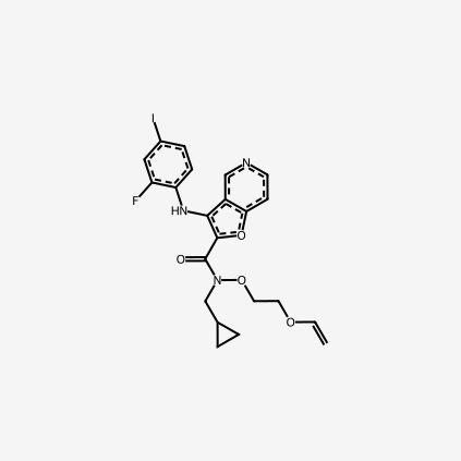 C=COCCON(CC1CC1)C(=O)c1oc2ccncc2c1Nc1ccc(I)cc1F